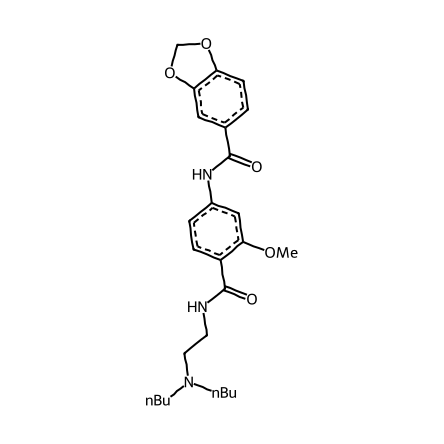 CCCCN(CCCC)CCNC(=O)c1ccc(NC(=O)c2ccc3c(c2)OCO3)cc1OC